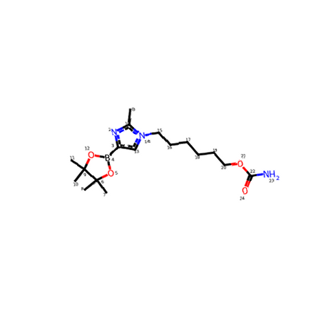 Cc1nc(B2OC(C)(C)C(C)(C)O2)cn1CCCCCCOC(N)=O